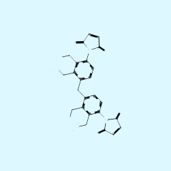 CCc1c(Cc2ccc(N3C(=O)C=CC3=O)c(CC)c2CC)ccc(N2C(=O)C=CC2=O)c1CC